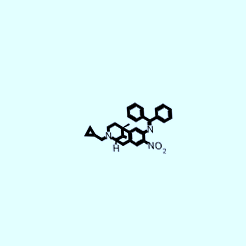 CC1[C@@H]2Cc3cc([N+](=O)[O-])c(N=C(c4ccccc4)c4ccccc4)cc3[C@@]1(C)CCN2CC1CC1